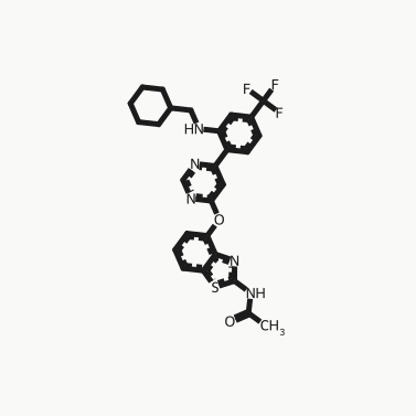 CC(=O)Nc1nc2c(Oc3cc(-c4ccc(C(F)(F)F)cc4NCC4CCCCC4)ncn3)cccc2s1